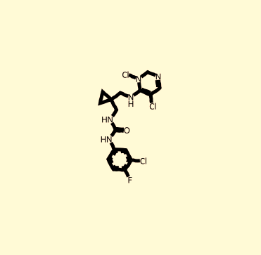 O=C(NCC1(CNC2=C(Cl)C=NCN2Cl)CC1)Nc1ccc(F)c(Cl)c1